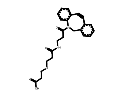 O=C(O)CCOCCC(=O)NCCC(=O)N1Cc2ccccc2C#Cc2ccccc21